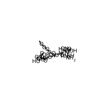 C#CCOCCOCCOCCOCCC(=O)N(CCOCCNC(=O)CO[C@H]([C@H](O)CO)[C@H]1C[C@@H](NC(=N)N)C=C(C(=O)O)O1)CCOCCNC(=O)CO[C@H](CCO)[C@@H]1OC(C(=O)O)=CC[C@H]1NC(C)=O